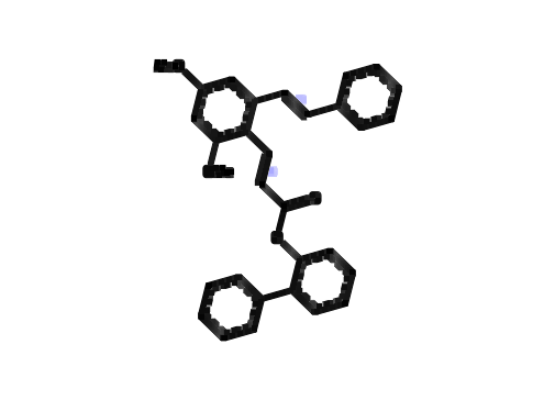 COc1cc(/C=C/c2ccccc2)c(/C=C/C(=O)Oc2ccccc2-c2ccccc2)c(OC)c1